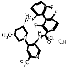 C[C@@H]1C[C@H](N)CN(c2cc(C(F)(F)F)ncc2NC(=O)c2ccc(F)c(-c3c(F)cccc3F)c2F)C1.Cl.Cl